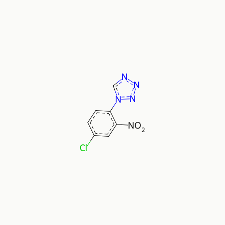 O=[N+]([O-])c1cc(Cl)ccc1-n1cnnn1